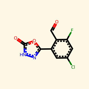 O=Cc1c(F)cc(Cl)cc1-c1n[nH]c(=O)o1